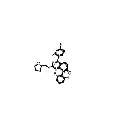 Cc1cc(F)ccc1-c1nc(NCC2CCCO2)nc2c1ccc(=O)n2-c1c(F)cccc1F